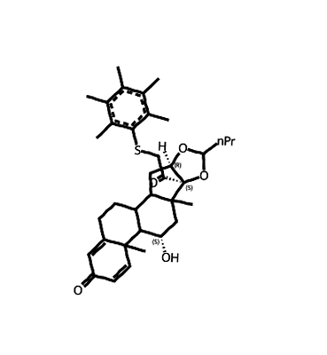 CCCC1O[C@@H]2CC3C4CCC5=CC(=O)C=CC5(C)C4[C@@H](O)CC3(C)[C@]2(C(=O)CSc2c(C)c(C)c(C)c(C)c2C)O1